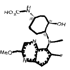 COc1cnc2c(N(C)[C@H]3CC[C@H](NC(=O)O)C[C@H]3O)c(F)ccc2n1